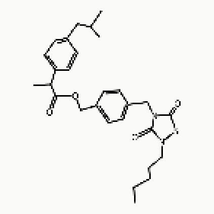 CCCCCn1sc(=O)n(Cc2ccc(COC(=O)C(C)c3ccc(CC(C)C)cc3)cc2)c1=O